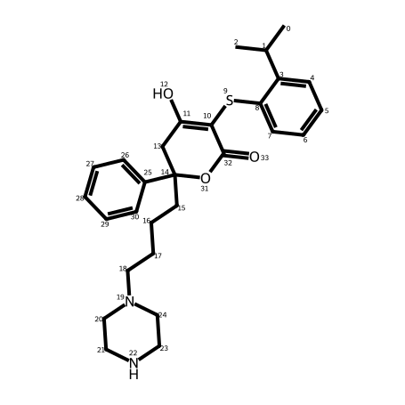 CC(C)c1ccccc1SC1=C(O)CC(CCCCN2CCNCC2)(c2ccccc2)OC1=O